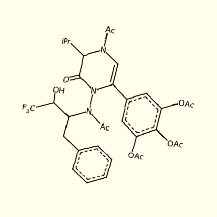 CC(=O)Oc1cc(C2=CN(C(C)=O)C(C(C)C)C(=O)N2N(C(C)=O)C(Cc2ccccc2)C(O)C(F)(F)F)cc(OC(C)=O)c1OC(C)=O